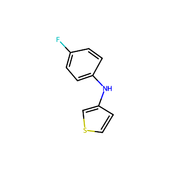 Fc1ccc(Nc2ccsc2)cc1